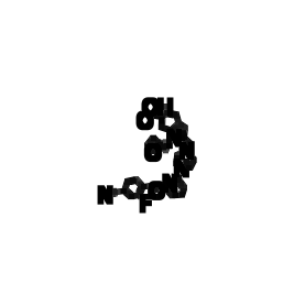 N#Cc1ccc(COc2cccc(N3CCN(Cc4cc5ccc(C(=O)O)cc5n4C[C@@H]4CCO4)CC3)n2)c(F)c1